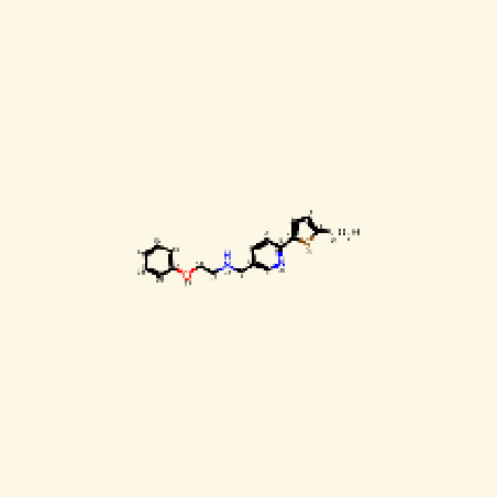 O=C(O)c1ccc(-c2ccc(CNCCOc3ccccc3)cn2)s1